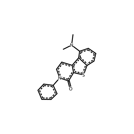 CN(C)c1cccc2sc3c(=O)n(-c4ccccc4)ccc3c12